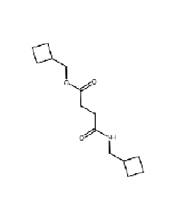 O=C(CCC(=O)OCC1CCC1)NCC1CCC1